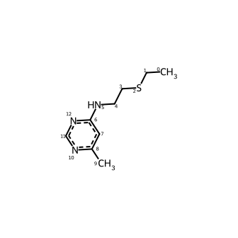 CCSCCNc1cc(C)ncn1